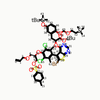 C=CCOC[C@H](COS(=O)(=O)c1ccc(C)cc1)Oc1c(Cl)c(C)c(-c2c(Br)sc3ncnc(OC(Cc4cc(O[Si](C)(C)C(C)(C)C)ccc4OCOCC[Si](C)(C)C)C(=O)OC(C)(C)C)c23)c(C)c1Cl